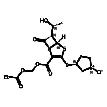 CCC(=O)OCOC(=O)C1=C(S[C@H]2CC[S@@+]([O-])C2)S[C@@H]2[C@@H]([C@@H](C)O)C(=O)N12